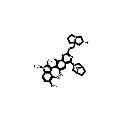 Cc1c(-c2c(C(F)(F)F)cc3c(N4CC5CCC(C4)N5)nc(OC[C@@]45CCCN4C[C@H](F)C5)nc3c2F)c2c(C#N)c(N)ccc2n1C